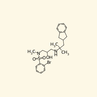 CN(CC(O)CNC(C)(C)CC1Cc2ccccc2C1)S(=O)(=O)c1ccccc1Br